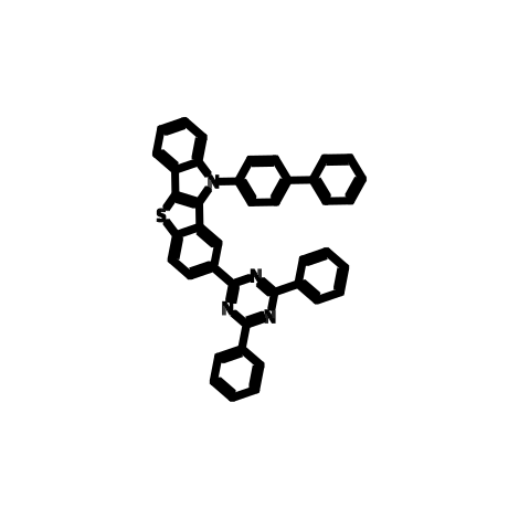 c1ccc(-c2ccc(-n3c4ccccc4c4sc5ccc(-c6nc(-c7ccccc7)nc(-c7ccccc7)n6)cc5c43)cc2)cc1